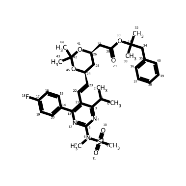 CC(C)c1nc(N(C)S(C)(=O)=O)nc(-c2ccc(F)cc2)c1C=C[C@@H]1C[C@H](CC(=O)OC(C)(C)Cc2ccccc2)OC(C)(C)O1